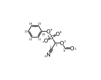 N#CC(O[C]=O)S(=O)(=O)Oc1ccccc1